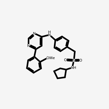 COc1ccccc1-c1cc(Nc2ccc(CS(=O)(=O)NC3CCCC3)cc2)ncn1